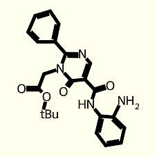 CC(C)(C)OC(=O)Cn1c(-c2ccccc2)ncc(C(=O)Nc2ccccc2N)c1=O